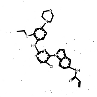 C=CC(=O)Nc1ccc2c(ccn2-c2nc(Nc3ccc(N4CCOCC4)cc3OCC)ncc2Cl)c1